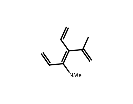 C=C/C(NC)=C(\C=C)C(=C)C